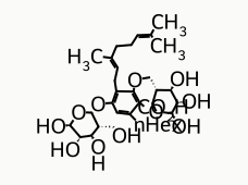 CCCCCCc1cc(OC2O[C@H](O)[C@@H](O)[C@H](O)[C@H]2CO)c(C/C=C(\C)CCC=C(C)C)c(OC[C@H]2CO[C@H](O)[C@@H](O)[C@@H]2O)c1C(=O)O